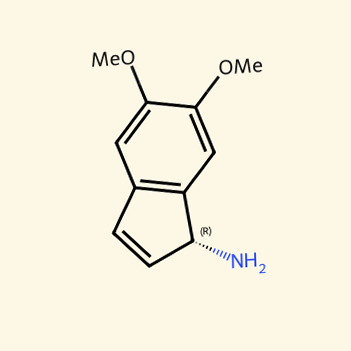 COc1cc2c(cc1OC)[C@H](N)C=C2